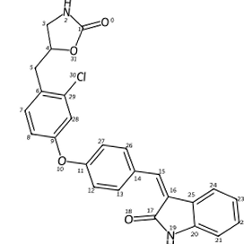 O=C1NCC(Cc2ccc(Oc3ccc(/C=C4\C(=O)Nc5ccccc54)cc3)cc2Cl)O1